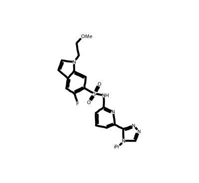 COCCn1ccc2cc(F)c(S(=O)(=O)Nc3cccc(-c4nncn4C(C)C)n3)cc21